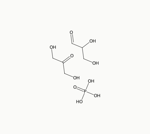 O=C(CO)CO.O=CC(O)CO.O=P(O)(O)O